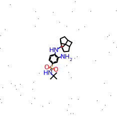 CC(C)(C)NS(=O)(=O)c1ccc(NC2C3CC4CC5CC2CC45C3)c(N)c1